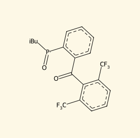 CCC(C)[P](=O)c1ccccc1C(=O)c1c(C(F)(F)F)cccc1C(F)(F)F